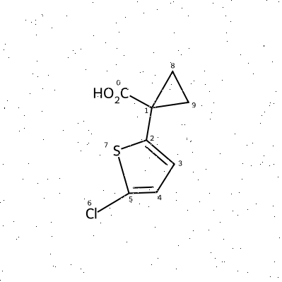 O=C(O)C1(c2ccc(Cl)s2)CC1